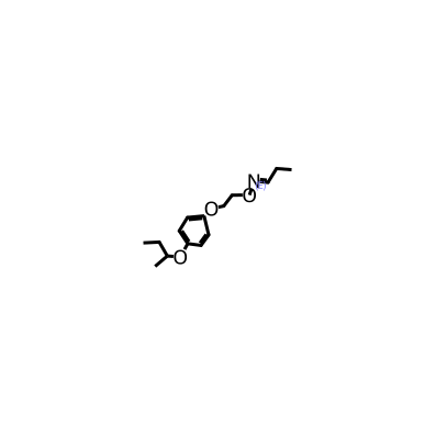 CC/C=N/OCCOc1ccc(OC(C)CC)cc1